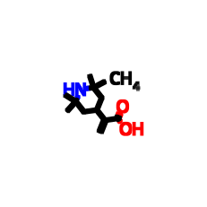 C.C=C(C(=O)O)C1CC(C)(C)NC(C)(C)C1